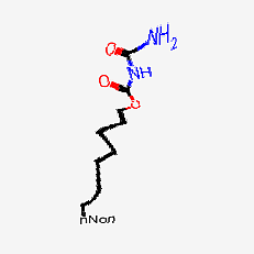 CCCCCCCCCCCCCCCCOC(=O)NC(N)=O